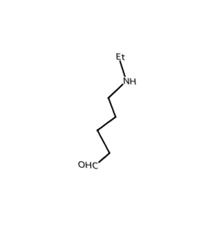 CCNCCCCC=O